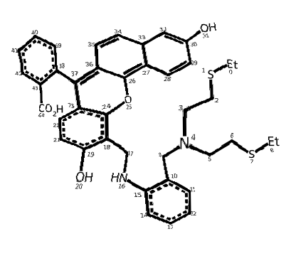 CCSCCN(CCSCC)Cc1ccccc1NCc1c(O)ccc2c1OC1=C3C=CC(O)=CC3C=CC1=C2c1ccccc1C(=O)O